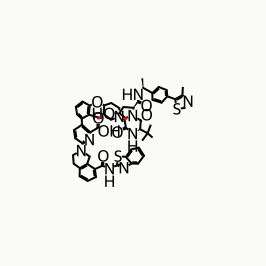 Cc1ncsc1-c1ccc([C@H](C)NC(=O)[C@@H]2C[C@@H](O)CN2C(=O)[C@@H](NC(=O)CN2CCC(Oc3cccc(-c4ccc(N5CCc6cccc(C(=O)Nc7nc8ccccc8s7)c6C5)nc4C(=O)O)c3C)CC2)C(C)(C)C)cc1